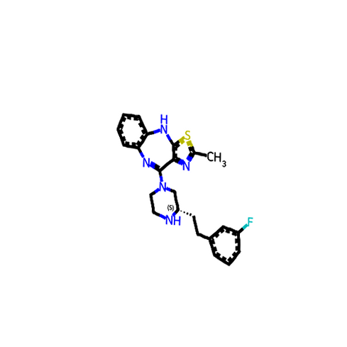 Cc1nc2c(s1)Nc1ccccc1N=C2N1CCN[C@@H](CCc2cccc(F)c2)C1